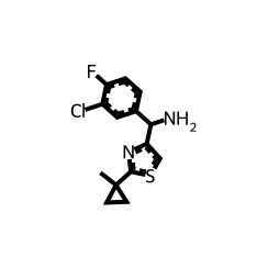 CC1(c2nc(C(N)c3ccc(F)c(Cl)c3)cs2)CC1